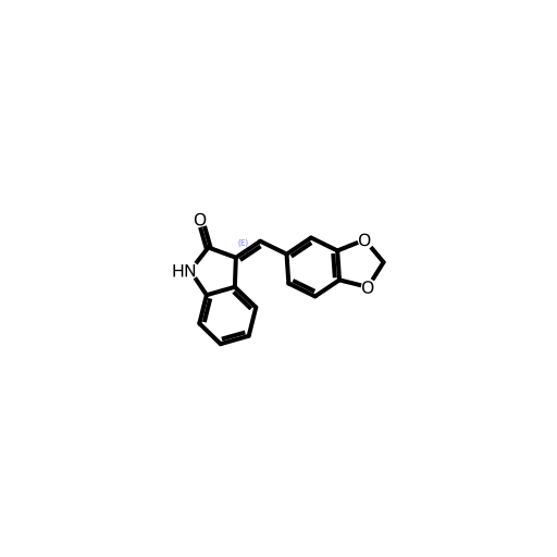 O=C1Nc2ccccc2/C1=C\c1ccc2c(c1)OCO2